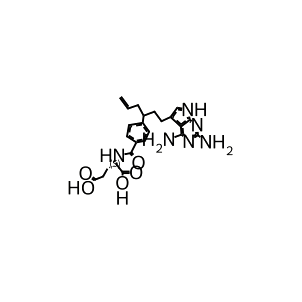 C=CCC(CCc1c[nH]c2nc(N)nc(N)c12)c1ccc(C(=O)N[C@@H](CCC(=O)O)C(=O)O)cc1